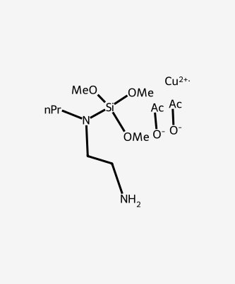 CC(=O)[O-].CC(=O)[O-].CCCN(CCN)[Si](OC)(OC)OC.[Cu+2]